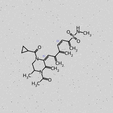 C=C(/C=C\C(=C)S(=O)(=O)NC)C(=C)/C=C1\C(=C)N(C(C)=O)C(C)CN1C(=O)C1CC1